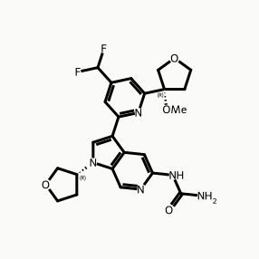 CO[C@@]1(c2cc(C(F)F)cc(-c3cn([C@@H]4CCOC4)c4cnc(NC(N)=O)cc34)n2)CCOC1